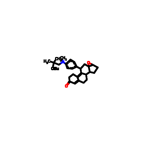 CC(C)COC(C)(C)CN(C)c1ccc(C2CC34OC3CCC4C3CCC4=CC(=O)CCC4=C23)cc1